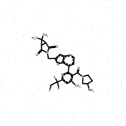 Cc1cc(C(F)(F)CF)nc(-c2ccnc3cc(CN4C(=O)C5C(C4=O)C5(C)C)sc23)c1C(=O)N1CCC(N)C1